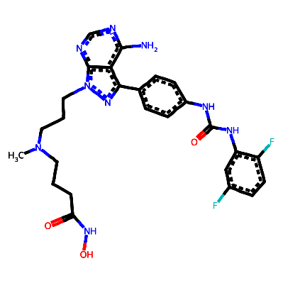 CN(CCCC(=O)NO)CCCn1nc(-c2ccc(NC(=O)Nc3cc(F)ccc3F)cc2)c2c(N)ncnc21